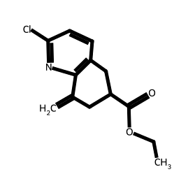 C=C1CC(C(=O)OCC)Cc2ccc(Cl)nc21